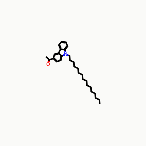 CCCCCCCCCCCCCCCCn1c2ccccc2c2cc(C(C)=O)ccc21